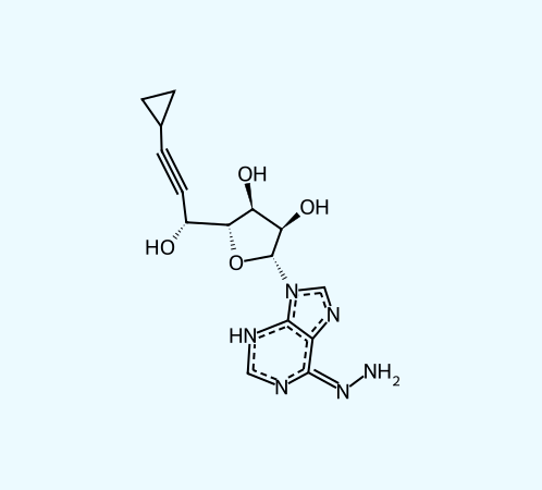 N/N=c1/nc[nH]c2c1ncn2[C@@H]1O[C@H]([C@H](O)C#CC2CC2)[C@@H](O)[C@H]1O